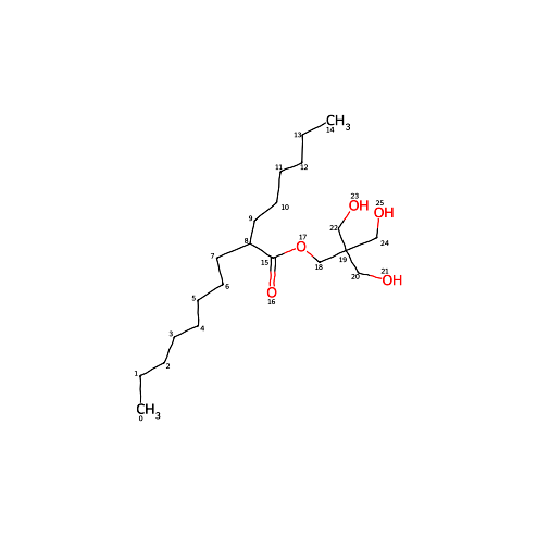 CCCCCCCCC(CCCCCC)C(=O)OCC(CO)(CO)CO